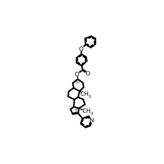 C[C@]12CC[C@H](OC(=O)c3ccc(Oc4ccccc4)cc3)CC1CCC1C2CC[C@]2(C)C(c3cccnc3)=CCC12